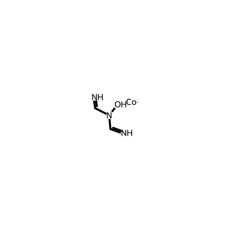 N=CN(O)C=N.[Co]